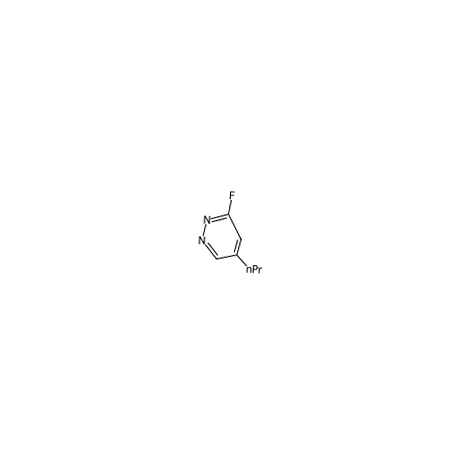 CCCc1cnnc(F)c1